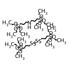 CCO[Si](CCCNCCC[Si](OCC)(OCC)OCC)(OCC)OCC.CCO[Si](CCCSSSSCCC[Si](OCC)(OCC)OCC)(OCC)OCC